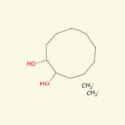 O[C]1CCCCCCCCC1O.[CH2].[CH2]